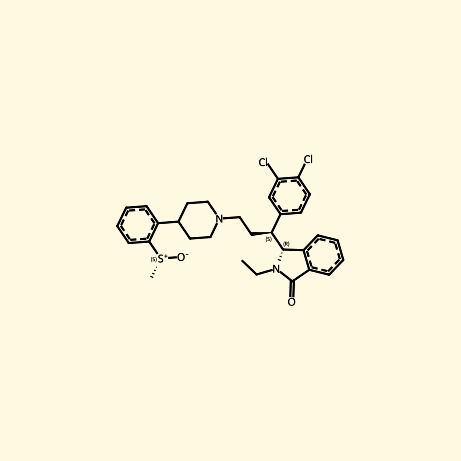 CCN1C(=O)c2ccccc2[C@H]1[C@@H](CCN1CCC(c2ccccc2[S@@+](C)[O-])CC1)c1ccc(Cl)c(Cl)c1